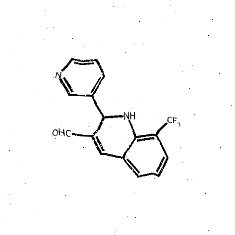 O=CC1=Cc2cccc(C(F)(F)F)c2NC1c1cccnc1